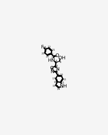 O=C(N[C@@H](CO)c1nc(-c2ccc3[nH]ccc3c2)no1)c1ccc(F)cc1